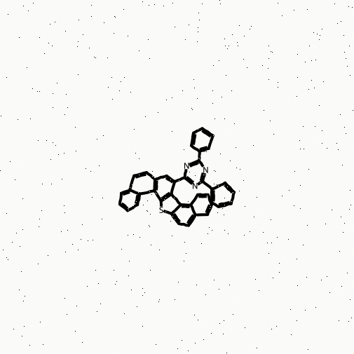 c1ccc(-c2nc(-c3ccccc3)nc(-c3cc4ccc5ccccc5c4c4sc5ccc6ccccc6c5c34)n2)cc1